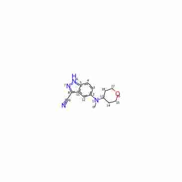 CN(c1ccc2[nH]nc(C#N)c2c1)C1CCOCC1